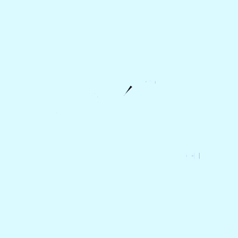 CCCCC[C@@H](CCCO)OC1CCCCO1